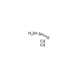 [Cd].[Cd].[O]=[Sn].[SnH2]